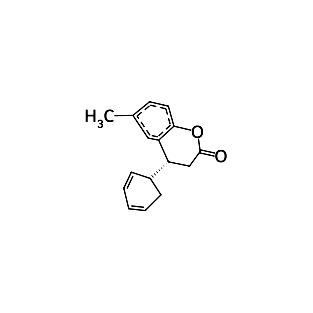 Cc1ccc2c(c1)[C@@H](C1C=CC=CC1)CC(=O)O2